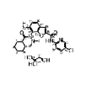 CN(C)N(C(=O)C1CCCCC1)c1c(N)ccc2cc(C(=O)Nc3ccc(Cl)cn3)oc12.Cl.OCCO